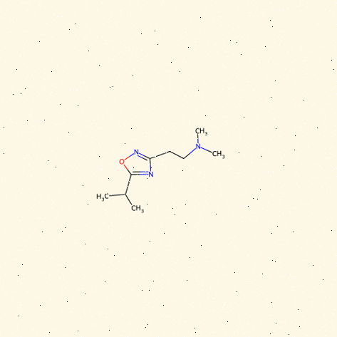 CC(C)c1nc(CCN(C)C)no1